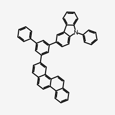 c1ccc(-c2cc(-c3ccc4ccc5c6ccccc6ccc5c4c3)cc(-c3ccc4c(c3)c3ccccc3n4-c3ccccc3)c2)cc1